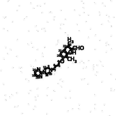 Cc1c(OCCCCN2CCN(c3ncccn3)CC2)ccc(CC(C)CC=O)c1O